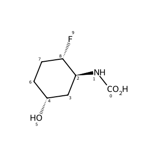 O=C(O)N[C@H]1C[C@H](O)CC[C@@H]1F